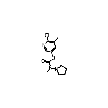 Cc1cc(OC(=O)N(C)N2CCCC2)cnc1Cl